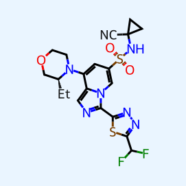 CC[C@H]1COCCN1c1cc(S(=O)(=O)NC2(C#N)CC2)cn2c(-c3nnc(C(F)F)s3)ncc12